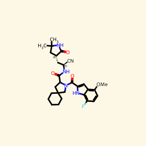 COc1ccc(F)c2[nH]c(C(=O)N3CC4(CCCCC4)CC3C(=O)N[C@H](C#N)C[C@@H]3CC(C)(C)NC3=O)cc12